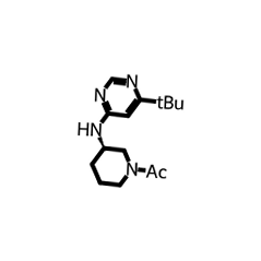 CC(=O)N1CCC[C@@H](Nc2cc(C(C)(C)C)ncn2)C1